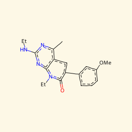 CCNc1nc(C)c2cc(-c3cccc(OC)c3)c(=O)n(CC)c2n1